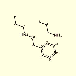 CCCN.CCCNOCc1ccccc1